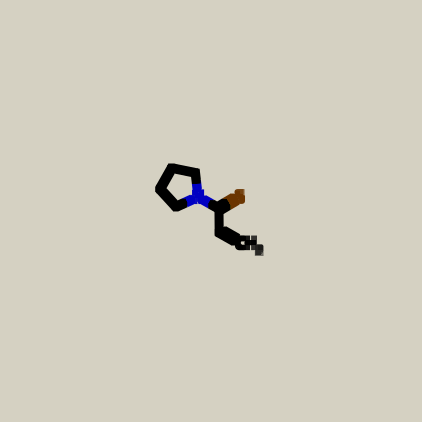 C=CC(=S)N1CCCC1